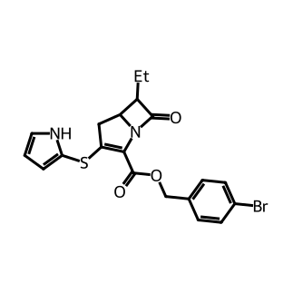 CCC1C(=O)N2C(C(=O)OCc3ccc(Br)cc3)=C(Sc3ccc[nH]3)CC12